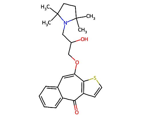 CC1(C)CCC(C)(C)N1CC(O)COc1cc2ccccc2c(=O)c2ccsc12